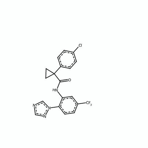 O=C(Nc1cc(C(F)(F)F)ccc1-n1cncn1)C1(c2ccc(Cl)cc2)CC1